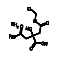 N.O=C(O)CC(O)(CC(=O)OCCl)C(=O)O